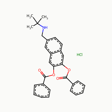 CC(C)(C)NCc1ccc2cc(OC(=O)c3ccccc3)c(OC(=O)c3ccccc3)cc2c1.Cl